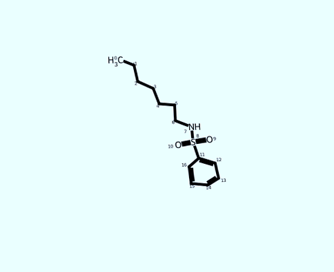 C[CH]CCCCCNS(=O)(=O)c1ccccc1